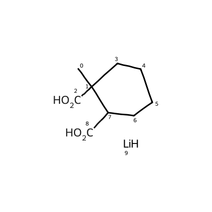 CC1(C(=O)O)CCCCC1C(=O)O.[LiH]